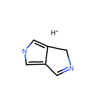 C1=NCC2=C[N]C=C12.[H+]